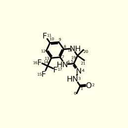 CC(=O)N/N=C1\Nc2c(cc(F)cc2C(F)(F)F)NC1(C)C